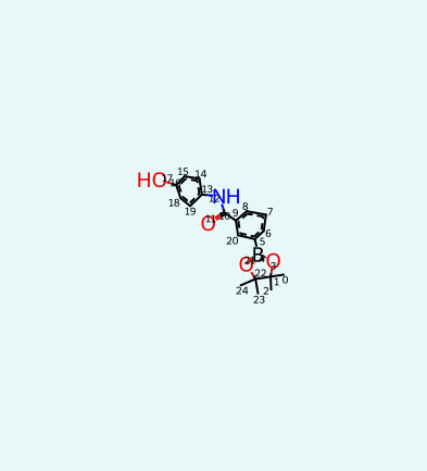 CC1(C)OB(c2cccc(C(=O)Nc3ccc(O)cc3)c2)OC1(C)C